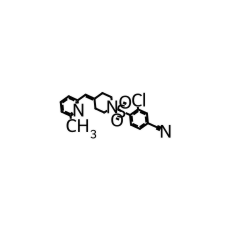 Cc1cccc(C=C2CCN(S(=O)(=O)c3ccc(C#N)cc3Cl)CC2)n1